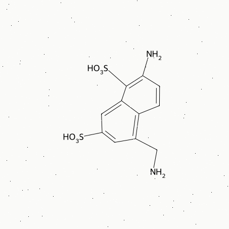 NCc1cc(S(=O)(=O)O)cc2c(S(=O)(=O)O)c(N)ccc12